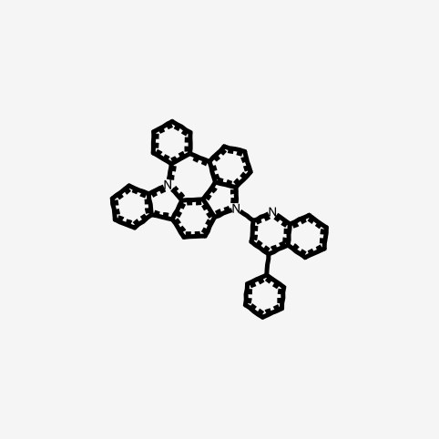 c1ccc(-c2cc(-n3c4cccc5c6ccccc6n6c7ccccc7c7ccc3c(c54)c76)nc3ccccc23)cc1